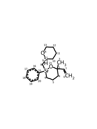 C=CC1(C)CCC[Si](C[SiH]2CCCCO2)(c2ccccc2)O1